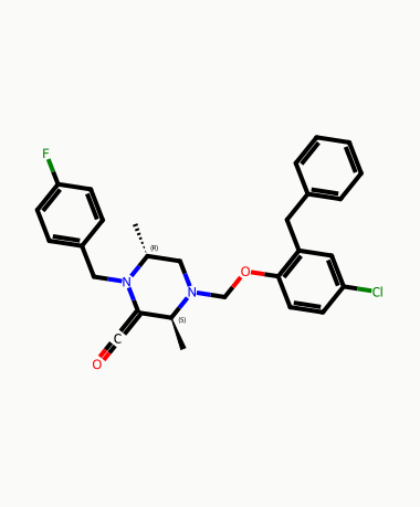 C[C@@H]1CN(COc2ccc(Cl)cc2Cc2ccccc2)[C@@H](C)C(=C=O)N1Cc1ccc(F)cc1